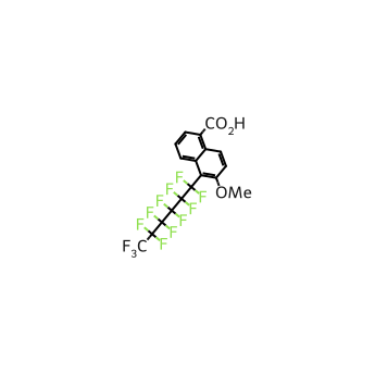 COc1ccc2c(C(=O)O)cccc2c1C(F)(F)C(F)(F)C(F)(F)C(F)(F)C(F)(F)C(F)(F)F